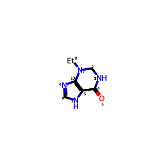 CCN1CNC(=O)c2[nH]cnc21